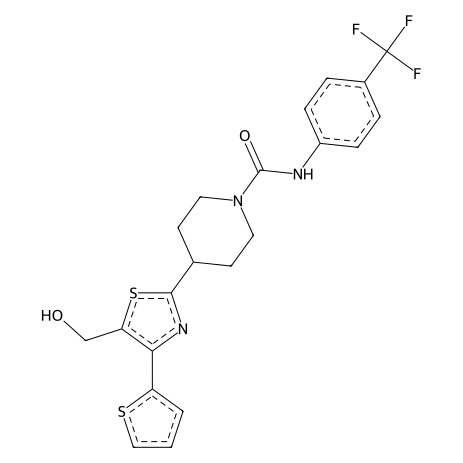 O=C(Nc1ccc(C(F)(F)F)cc1)N1CCC(c2nc(-c3cccs3)c(CO)s2)CC1